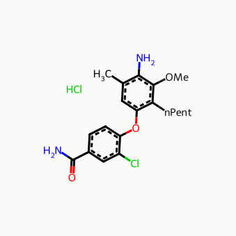 CCCCCc1c(Oc2ccc(C(N)=O)cc2Cl)cc(C)c(N)c1OC.Cl